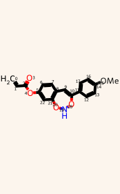 C=CC(=O)Oc1ccc2cc(-c3ccc(OC)cc3)o[nH]oc2c1